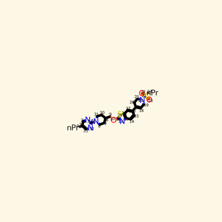 CCCc1cnc(N2CCC(COc3nc4ccc(C5=CCN(S(=O)(=O)CCC)CC5)cc4s3)CC2)nc1